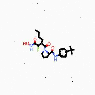 CCCCC(C(=O)N1CCCC1C(=O)Nc1ccc(C(C)(C)C)cc1)C(F)C(=O)NO